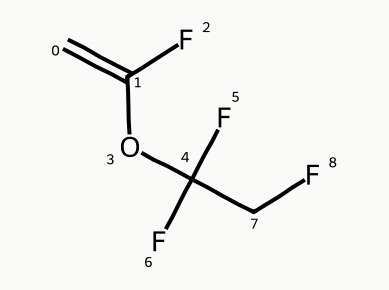 C=C(F)OC(F)(F)CF